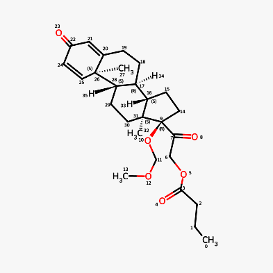 CCCC(=O)OCC(=O)[C@@]1(OCOC)CC[C@H]2[C@@H]3CCC4=CC(=O)C=C[C@]4(C)[C@H]3CC[C@@]21C